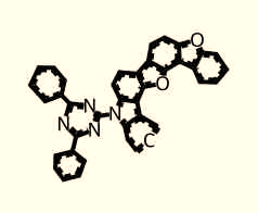 c1ccc(-c2nc(-c3ccccc3)nc(-n3c4ccccc4c4c5oc6c(ccc7oc8ccccc8c76)c5ccc43)n2)cc1